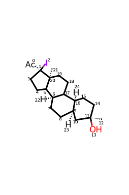 CC(=O)[C@@]1(I)CCC2[C@@H]3CC[C@@H]4C[C@](C)(O)CC[C@@H]4C3CC[C@@]21C